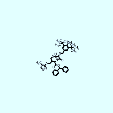 Cn1nnnc1SCC1=C(C(=O)OC(c2ccccc2)c2ccccc2)N2C(=O)C(N=Cc3cc(C(C)(C)C)c(O)c(C(C)(C)C)c3)[C@@H]2SC1